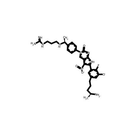 C[C@H](N)CCCc1cc(Cl)c(F)c(-c2[nH]c3nc(=O)n(-c4ccc([C@H](C)NCCCNC(=N)N)cc4)cc3c2[N+](=O)[O-])c1